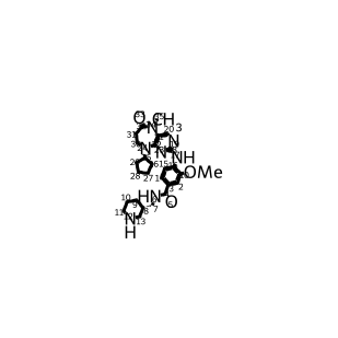 COc1cc(C(=O)NC[C@H]2CCCNC2)ccc1Nc1ncc2c(n1)N(C1CCCC1)CCC(=O)N2C